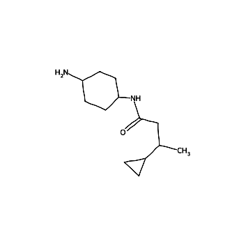 CC(CC(=O)NC1CCC(N)CC1)C1CC1